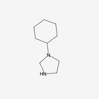 C1CCC(N2CCNC2)CC1